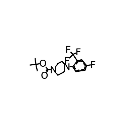 CC(C)(C)OC(=O)N1CCN(c2ccc(F)cc2C(F)(F)F)CC1